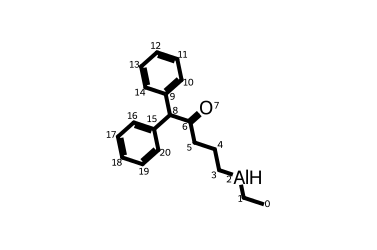 C[CH2][AlH][CH2]CCC(=O)C(c1ccccc1)c1ccccc1